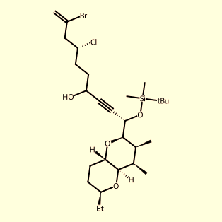 C=C(Br)C[C@H](Cl)CCC(O)C#C[C@H](O[Si](C)(C)C(C)(C)C)[C@@H]1O[C@H]2CC[C@H](CC)O[C@@H]2[C@H](C)[C@@H]1C